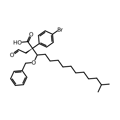 CC(C)CCCCCCCCCC(OCc1ccccc1)[C@](CC=O)(C(=O)O)c1ccc(Br)cc1